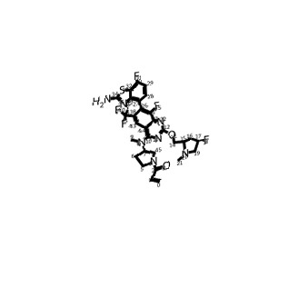 C=CC(=O)N1CC[C@@H](N(C)c2nc(OCC3C[C@@H](F)CN3C)nc3c(F)c(-c4ccc(F)c5sc(N)nc45)c(C(F)(F)F)cc23)C1